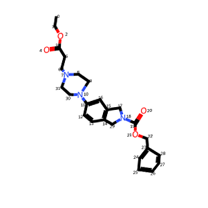 CCOC(=O)CCN1CCN(c2ccc3c(c2)CN(C(=O)OCc2ccccc2)C3)CC1